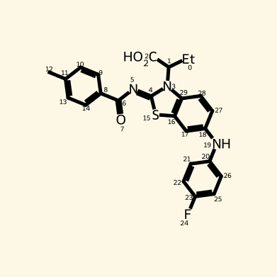 CCC(C(=O)O)n1/c(=N/C(=O)c2ccc(C)cc2)sc2cc(Nc3ccc(F)cc3)ccc21